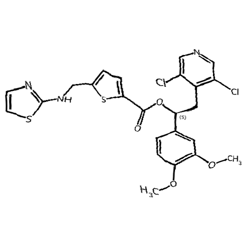 COc1ccc([C@H](Cc2c(Cl)cncc2Cl)OC(=O)c2ccc(CNc3nccs3)s2)cc1OC